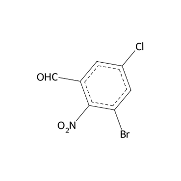 O=Cc1cc(Cl)cc(Br)c1[N+](=O)[O-]